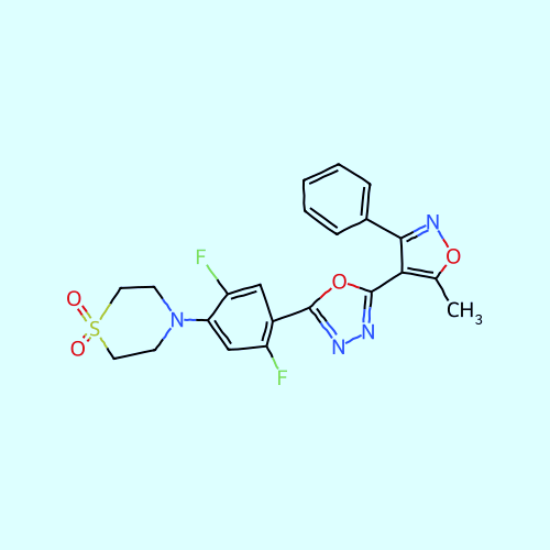 Cc1onc(-c2ccccc2)c1-c1nnc(-c2cc(F)c(N3CCS(=O)(=O)CC3)cc2F)o1